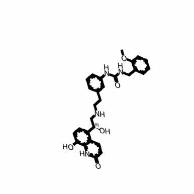 COc1ccccc1CNC(=O)Nc1cccc(CCNC[C@H](O)c2ccc(O)c3[nH]c(=O)ccc23)c1